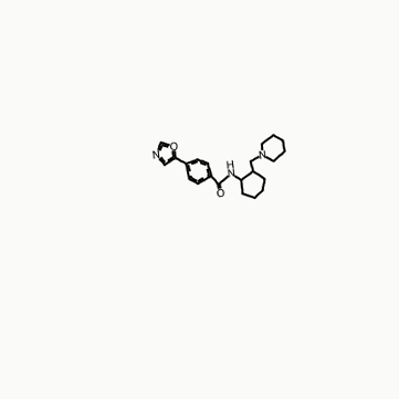 O=C(NC1CCCCC1CN1CCCCC1)c1ccc(-c2cnco2)cc1